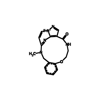 CN1Cc2ccccc2OCCNC(=O)C2=C3N=C1C=C[N+]3(F)N=C2